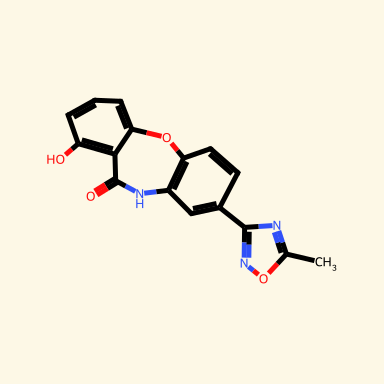 Cc1nc(-c2ccc3c(c2)NC(=O)c2c(O)cccc2O3)no1